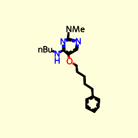 CCCCNc1nc(NC)ncc1OCCCCCc1ccccc1